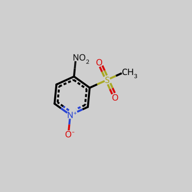 CS(=O)(=O)c1c[n+]([O-])ccc1[N+](=O)[O-]